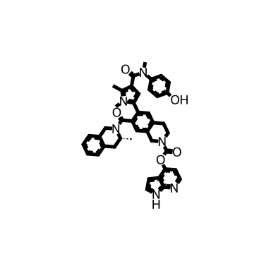 Cc1c(C(=O)N(C)c2ccc(O)cc2)cc(-c2cc3c(cc2C(=O)N2Cc4ccccc4C[C@H]2C)CN(C(=O)Oc2ccnc4[nH]ccc24)CC3)n1C